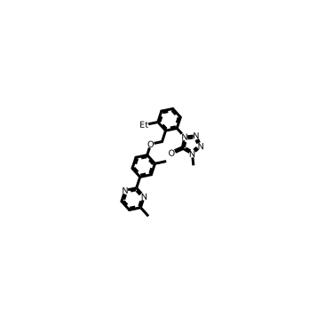 CCc1cccc(-n2nnn(C)c2=O)c1COc1ccc(-c2nccc(C)n2)cc1C